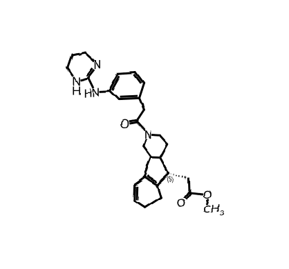 COC(=O)C[C@@H]1C2=C(C=CCC2)C2CN(C(=O)Cc3cccc(NC4=NCCCN4)c3)CCC21